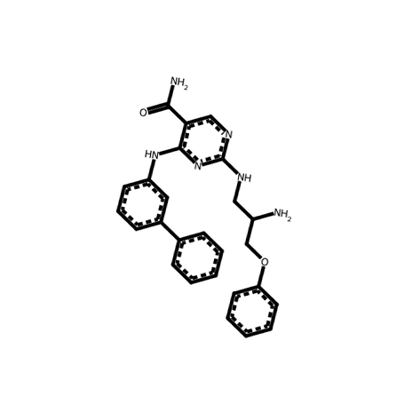 NC(=O)c1cnc(NCC(N)COc2ccccc2)nc1Nc1cccc(-c2ccccc2)c1